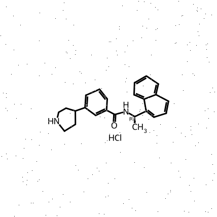 C[C@@H](NC(=O)c1cccc(C2CCNCC2)c1)c1cccc2ccccc12.Cl